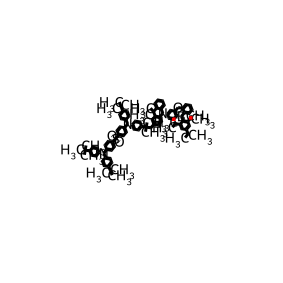 CC(C)c1cc(C(C)C)c(B2c3ccccc3Oc3cc(N4c5ccccc5C(C)(C)c5cc(CC(C)(C)c6ccc(N(c7ccc(C(C)(C)C)cc7)c7ccc(S(=O)(=O)c8ccc(N(c9ccc(C(C)(C)C)cc9)c9ccc(C(C)(C)C)cc9)cc8)cc7)cc6)ccc54)ccc32)c(C(C)C)c1